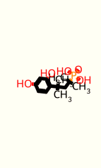 CC(C)(CC(C)(C)P(=O)(O)O)c1ccc(O)cc1O